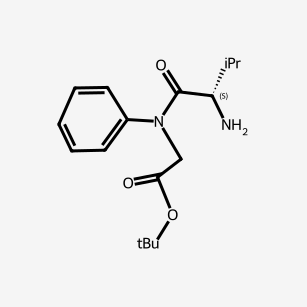 CC(C)[C@H](N)C(=O)N(CC(=O)OC(C)(C)C)c1ccccc1